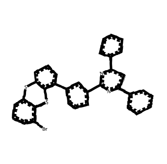 Brc1cccc2c1Sc1c(cccc1-c1cccc(-c3nc(-c4ccccc4)cc(-c4ccccc4)n3)c1)S2